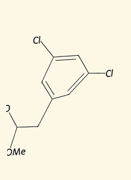 COC([O])Cc1cc(Cl)cc(Cl)c1